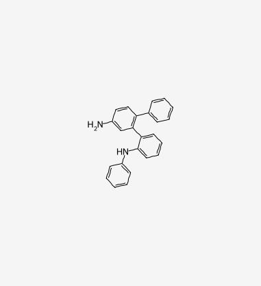 Nc1ccc(-c2ccccc2)c(-c2ccccc2Nc2ccccc2)c1